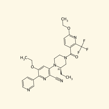 CCOc1ccc(C(=O)N2CCN(c3cc(OCC)c(-c4cccnc4)nc3C#N)[C@H](CC)C2)c(C(F)(F)F)n1